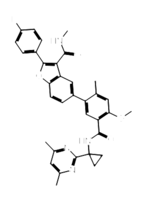 CNC(=O)c1c(-c2ccc(F)cc2)oc2ccc(-c3cc(C(=O)NC4(c5nc(C)cc(C)n5)CC4)c(OC)cc3C)cc12